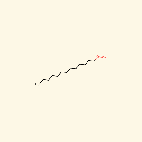 CCCCCCCCCCCCCOO